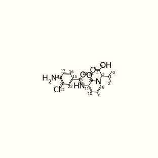 CC(C)C(C(=O)O)n1cccc(NC(=O)c2ccc(N)c(Cl)c2)c1=O